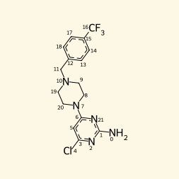 Nc1nc(Cl)cc(N2CCN(Cc3ccc(C(F)(F)F)cc3)CC2)n1